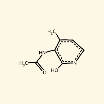 CC(=O)Nc1c(C)ccnc1O